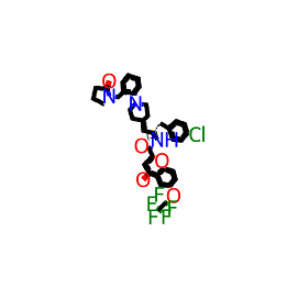 O=C(N[C@H](C=C1CCN(c2ccccc2CN2CCCC2=O)CC1)Cc1ccc(Cl)cc1)c1cc(=O)c2cc(OC(F)(F)C(F)(F)F)ccc2o1